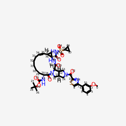 COc1cccc(-c2csc(C(=O)N3C[C@H]4CN5C(=O)[C@H](NC(=O)OC(C)(C)C)CCCCC/C=C\[C@H]6C[C@@]6(C(=O)NS(=O)(=O)C6CC6)NC(=O)[C@@H]5[C@H]4C3)n2)c1